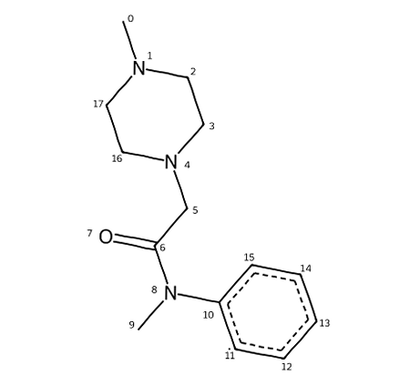 CN1CCN(CC(=O)N(C)c2[c]cccc2)CC1